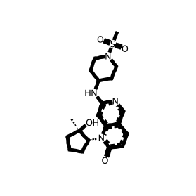 C[C@@]1(O)CCC[C@H]1n1c(=O)ccc2cnc(NC3CCN(S(C)(=O)=O)CC3)cc21